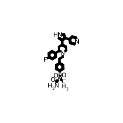 CN(C(N)=O)S(=O)(=O)c1ccc(CCN2CC=C(c3c[nH]cc3-c3ccncc3)CC2c2ccc(F)cc2)cc1